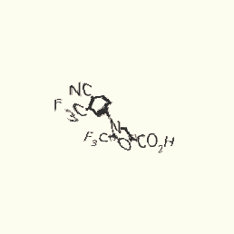 N#Cc1ccc(N2C[C@@H](C(=O)O)O[C@H]2C(F)(F)F)cc1C(F)(F)F